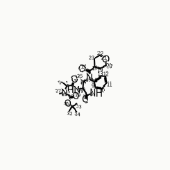 CC(C(=O)N[C@@H]1C(=O)Nc2ccccc2N(C(=O)C2CCOCC2)[C@H]1C)N(C)C(=O)OC(C)(C)C